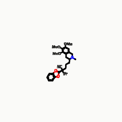 COc1cc2c(c(OC)c1OC)CC(CCCC(C#N)(C(C)C)C1Oc3ccccc3O1)N(C)C2